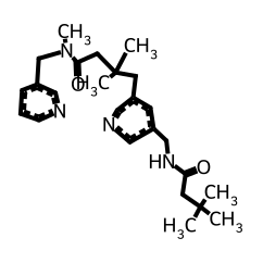 CN(Cc1cccnc1)C(=O)CC(C)(C)Cc1cncc(CNC(=O)CC(C)(C)C)c1